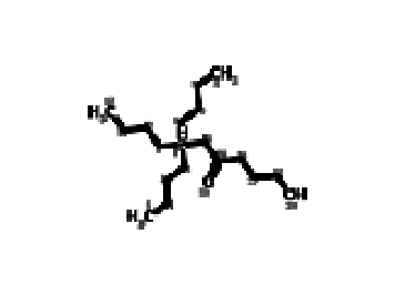 CCCC[PH](CCCC)(CCCC)CC(=O)CCCO